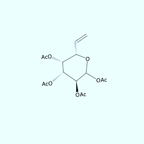 C=C[C@@H]1OC(OC(C)=O)[C@@H](OC(C)=O)[C@H](OC(C)=O)[C@@H]1OC(C)=O